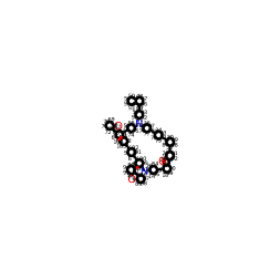 c1ccc(-c2ccc(-c3ccc(N(c4ccc(-c5cccc6c5oc5cc(-c7cccc(-c8ccc(-c9ccc(N(c%10ccc(-c%11cccc%12ccccc%11%12)cc%10)c%10ccc(-c%11cccc%12c%11oc%11ccccc%11%12)cc%10)cc9)cc8)c7)ccc56)cc4)c4cccc5oc6ccccc6c45)cc3)cc2)cc1